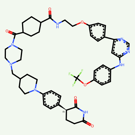 O=C1CC[C@@H](c2ccc(N3CCC(CN4CCN(C(=O)C5CCC(C(=O)NCCOc6ccc(-c7cc(Nc8ccc(OC(F)(F)F)cc8)ncn7)cc6)CC5)CC4)CC3)cc2)C(=O)N1